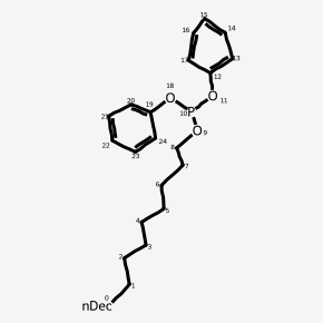 CCCCCCCCCCCCCCCCCCOP(Oc1ccccc1)Oc1ccccc1